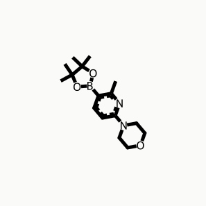 Cc1nc(N2CCOCC2)ccc1B1OC(C)(C)C(C)(C)O1